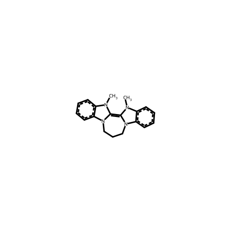 CN1C2=C3N(C)c4ccccc4N3CCCN2c2ccccc21